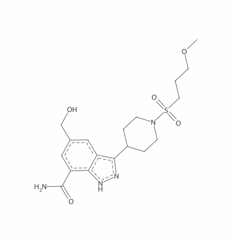 COCCCS(=O)(=O)N1CCC(c2n[nH]c3c(C(N)=O)cc(CO)cc23)CC1